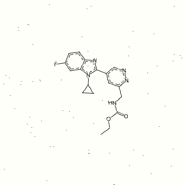 CCOC(=O)NCc1cc(-c2nc3ccc(F)cc3n2C2CC2)cnn1